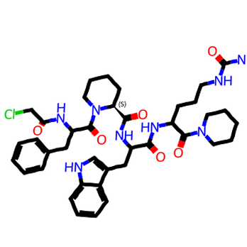 NC(=O)NCCCC(NC(=O)C(Cc1c[nH]c2ccccc12)NC(=O)[C@@H]1CCCCN1C(=O)C(Cc1ccccc1)NC(=O)CCl)C(=O)N1CCCCC1